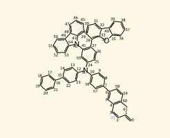 C=C/C=C\c1cc(-c2ccc(N(c3ccc(-c4ccccc4)cc3)c3ccc(-c4cccc5c4oc4ccccc45)c(-n4c5ccccc5c5ccccc54)c3)cc2)ccc1C